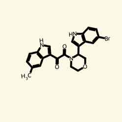 Cc1ccc2[nH]cc(C(=O)C(=O)N3CCOCC3c3c[nH]c4ccc(Br)cc34)c2c1